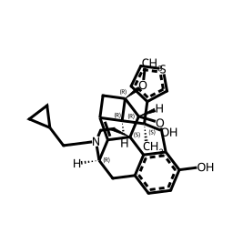 CO[C@@]12CC(=C3[C@H]4Cc5ccc(O)c6c5[C@@]3(CCN4CC3CC3)[C@H]1O6)[C@@H]2[C@](C)(O)c1ccsc1